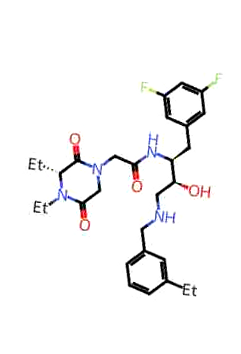 CCc1cccc(CNC[C@H](O)[C@H](Cc2cc(F)cc(F)c2)NC(=O)CN2CC(=O)N(CC)[C@H](CC)C2=O)c1